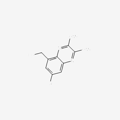 COc1nc2cc(Br)cc(CO)c2nc1OC